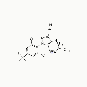 CN(C)/C=N\c1c(I)c(C#N)nn1-c1c(Cl)cc(C(F)(F)F)cc1Cl